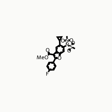 COC(=O)c1c(-c2ccc(F)cc2)oc2cc(N(S(C)(=O)=O)S(C)(=O)=O)c(C3CC3)cc12